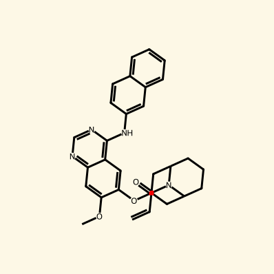 C=CC(=O)N1C2CCCC1CC(Oc1cc3c(Nc4ccc5ccccc5c4)ncnc3cc1OC)C2